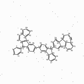 c1ccc(-n2c3ccc(-c4ccc5c(c4)c4ccccc4n5-c4cnc5c(c4)-c4cccc6nccc-5c46)cc3c3c4ccccc4ccc32)cc1